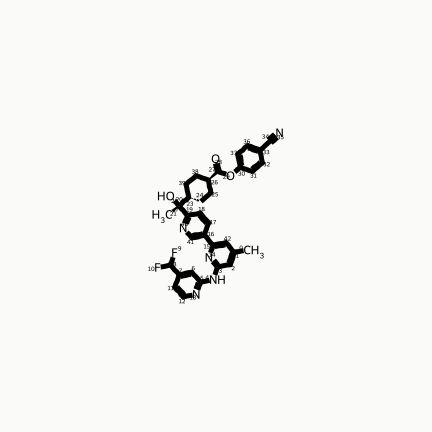 Cc1cc(Nc2cc(C(F)F)ccn2)nc(-c2ccc([C@](C)(O)[C@H]3CC[C@H](C(=O)Oc4ccc(C#N)cc4)CC3)nc2)c1